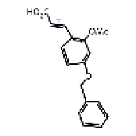 COc1cc(OCc2ccccc2)ccc1/C=C/C(=O)O